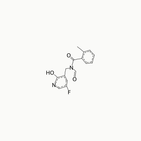 Cc1ccccc1C(=O)N(C=O)Cc1cc(F)cnc1O